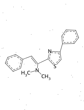 CN(C)C(=Cc1ccccc1)c1nc(-c2ccccc2)cs1